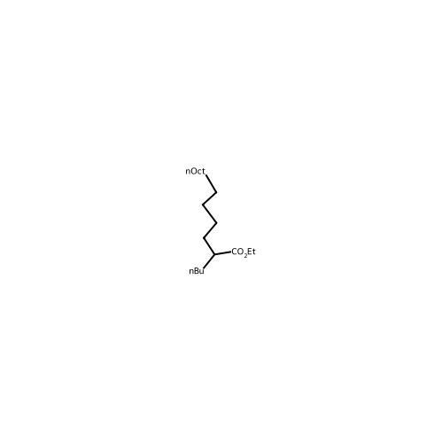 CCCCCCCCCCCCC(CCCC)C(=O)OCC